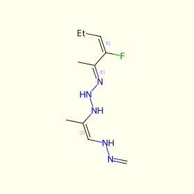 C=NN/C=C(/C)NN/N=C(C)/C(F)=C\CC